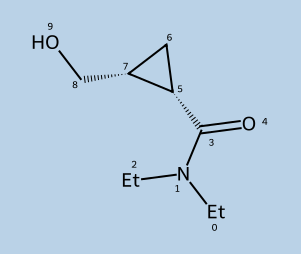 CCN(CC)C(=O)[C@H]1C[C@H]1CO